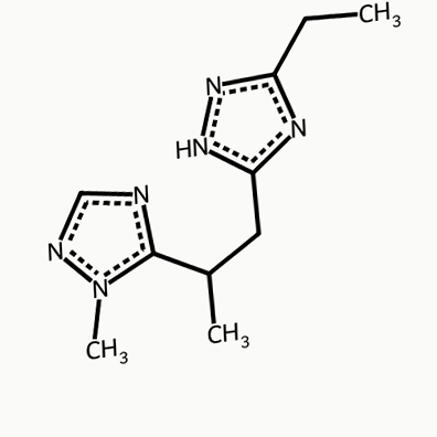 CCc1n[nH]c(CC(C)c2ncnn2C)n1